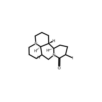 O=C1C(I)CC[C@@H]2[C@H]3CCCN4CCC[C@H](CN12)[C@H]34